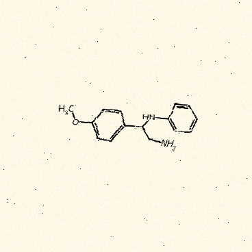 COc1ccc(C(CN)Nc2ccccc2)cc1